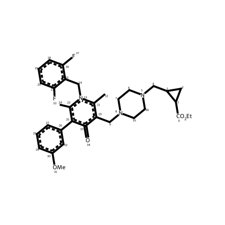 CCOC(=O)C1CC1CN1CCN(Cc2c(C)n(Cc3c(F)cccc3F)c(C)c(-c3cccc(OC)c3)c2=O)CC1